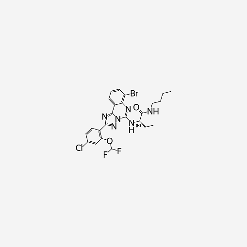 CCCCNC(=O)[C@@H](CC)Nc1nc2c(Br)cccc2c2nc(-c3ccc(Cl)cc3OC(F)F)nn12